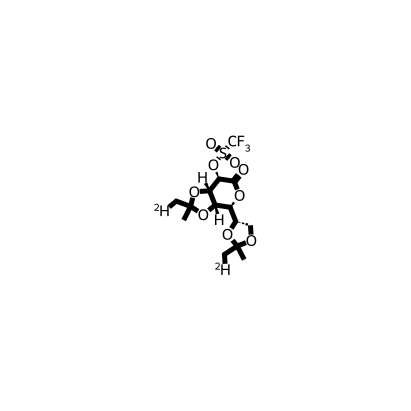 [2H]CC1(C)O[C@H]2[C@@H]([C@@H]3COC(C)(C[2H])O3)OC(=O)[C@@H](OS(=O)(=O)C(F)(F)F)[C@H]2O1